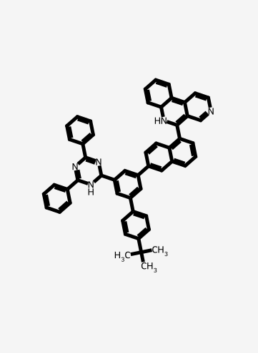 CC(C)(C)c1ccc(-c2cc(-c3ccc4c(C5=c6cnccc6=C6C=CC=CC6N5)cccc4c3)cc(C3N=C(c4ccccc4)N=C(c4ccccc4)N3)c2)cc1